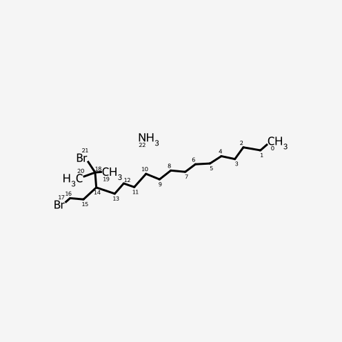 CCCCCCCCCCCCCCC(CCBr)C(C)(C)Br.N